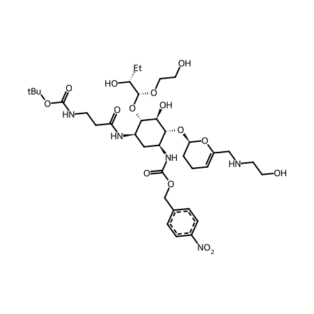 CC[C@@H](O)[C@H](OCCO)O[C@@H]1[C@@H](O)[C@H](O[C@@H]2CCC=C(CNCCO)O2)[C@@H](NC(=O)OCc2ccc([N+](=O)[O-])cc2)C[C@H]1NC(=O)CCNC(=O)OC(C)(C)C